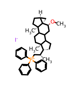 CO[C@@H]1CC2C3CC[C@H]([C@H](C)C[P+](c4ccccc4)(c4ccccc4)c4ccccc4)[C@@]3(C)CCC2[C@@]2(C)CC[C@H]3C[C@]312.[I-]